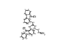 CCn1c2ccccc2c2ccnc(CN(CCCCN)Cc3nccc4c5ccccc5n(CC)c34)c21